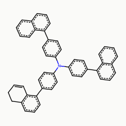 C1=Cc2c(cccc2-c2ccc(N(c3ccc(-c4cccc5ccccc45)cc3)c3ccc(-c4cccc5ccccc45)cc3)cc2)CC1